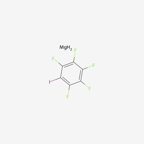 Fc1c(F)c(F)c(I)c(F)c1F.[MgH2]